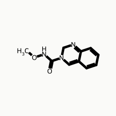 CONC(=O)N1C=c2ccccc2=NC1